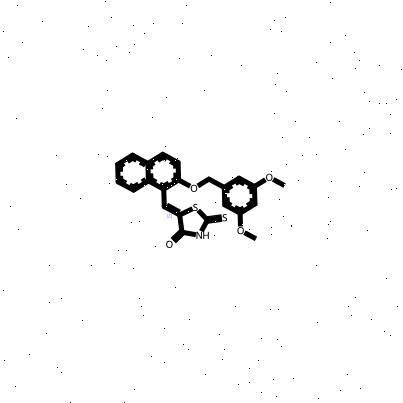 COc1cc(COc2ccc3ccccc3c2/C=C2\SC(=S)NC2=O)cc(OC)c1